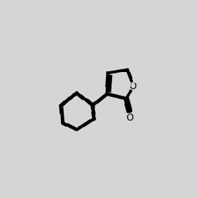 O=C1OCC=C1C1CCCCC1